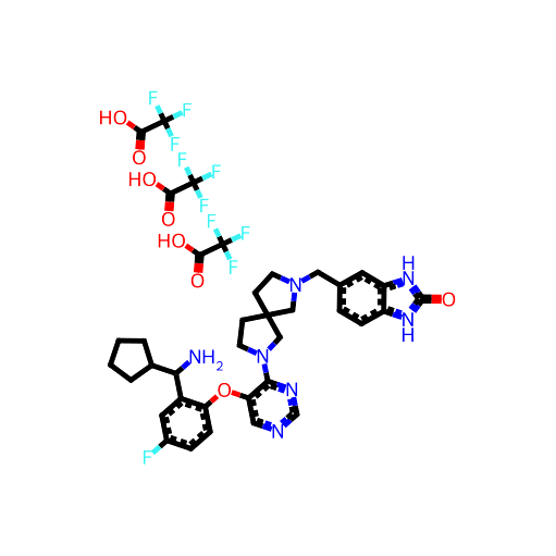 NC(c1cc(F)ccc1Oc1cncnc1N1CCC2(CCN(Cc3ccc4[nH]c(=O)[nH]c4c3)C2)C1)C1CCCC1.O=C(O)C(F)(F)F.O=C(O)C(F)(F)F.O=C(O)C(F)(F)F